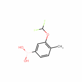 Cc1ccc(B(O)O)cc1OC(F)F